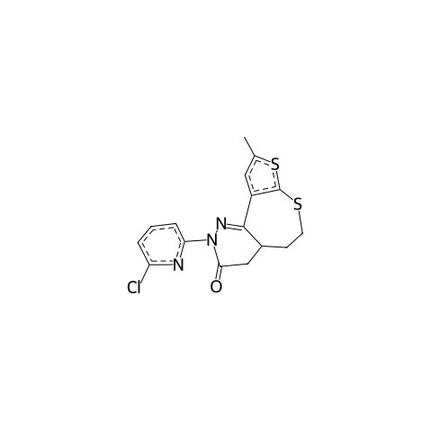 Cc1cc2c(s1)SCCC1CC(=O)N(c3cccc(Cl)n3)N=C21